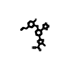 C=CCc1ccc(F)c(Oc2ccc(-c3nc(C)c(C(=O)O)s3)cc2-n2cnnn2)c1